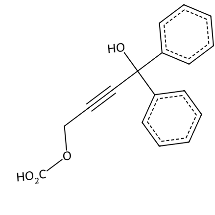 O=C(O)OCC#CC(O)(c1ccccc1)c1ccccc1